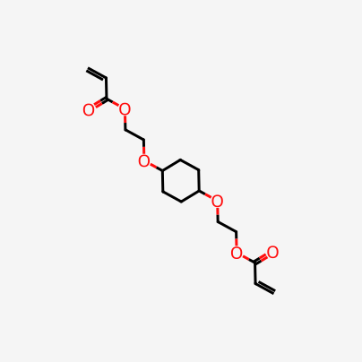 C=CC(=O)OCCOC1CCC(OCCOC(=O)C=C)CC1